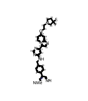 CN/C=C(\C=N)c1ccc(CNc2cc(-c3cnc4cc(OCCN5CCC(F)(F)C5)ccn34)ncn2)cc1